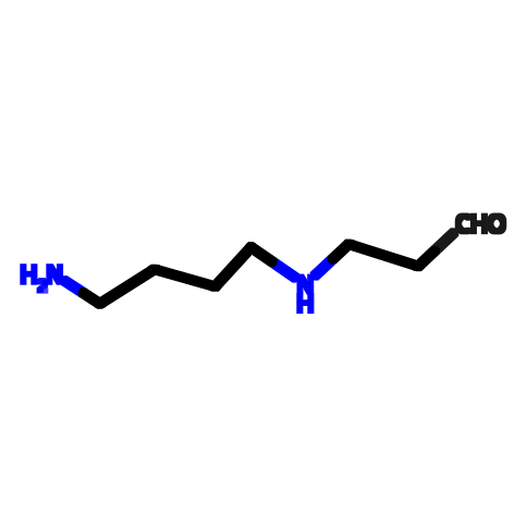 NCCCCNCCC=O